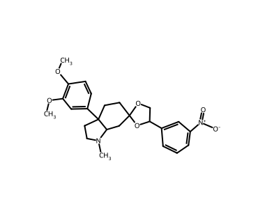 COc1ccc(C23CCN(C)C2CC2(CC3)OCC(c3cccc([N+](=O)[O-])c3)O2)cc1OC